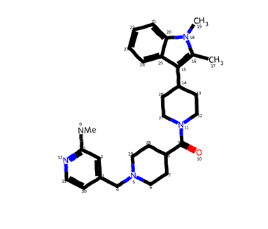 CNc1cc(CN2CCC(C(=O)N3CCC(c4c(C)n(C)c5ccccc45)CC3)CC2)ccn1